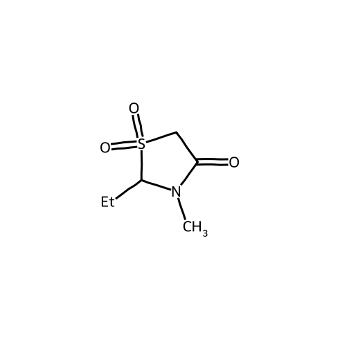 CCC1N(C)C(=O)CS1(=O)=O